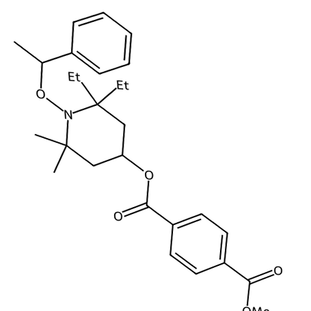 CCC1(CC)CC(OC(=O)c2ccc(C(=O)OC)cc2)CC(C)(C)N1OC(C)c1ccccc1